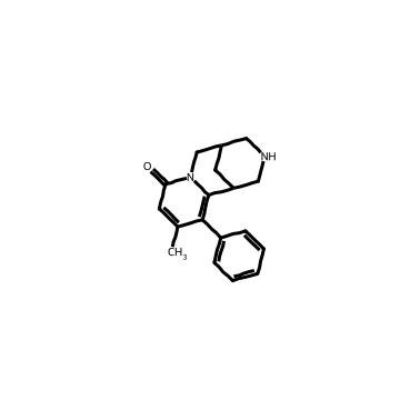 Cc1cc(=O)n2c(c1-c1ccccc1)C1CNCC(C1)C2